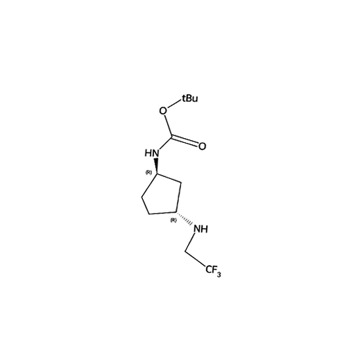 CC(C)(C)OC(=O)N[C@@H]1CC[C@@H](NCC(F)(F)F)C1